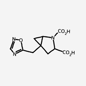 O=C(O)C1CC2(Cc3ncno3)CC2N1C(=O)O